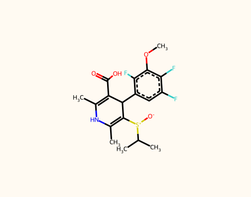 COc1c(F)c(F)cc(C2C(C(=O)O)=C(C)NC(C)=C2[S+]([O-])C(C)C)c1F